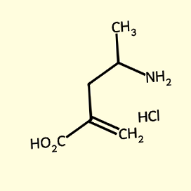 C=C(CC(C)N)C(=O)O.Cl